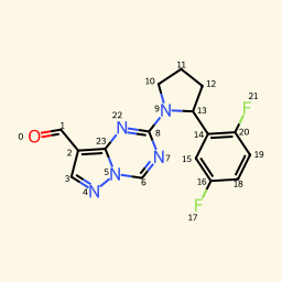 O=Cc1cnn2cnc(N3CCCC3c3cc(F)ccc3F)nc12